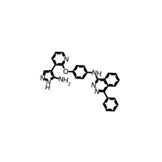 Nc1[nH]ncc1-c1cccnc1Oc1ccc(Nc2nnc(-c3ccccc3)c3ccccc23)cc1